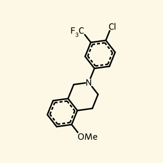 COc1cccc2c1CCN(c1ccc(Cl)c(C(F)(F)F)c1)C2